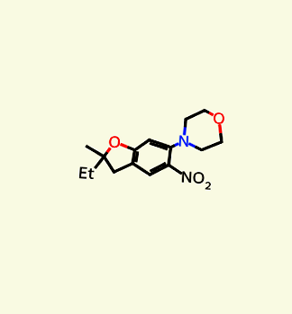 CCC1(C)Cc2cc([N+](=O)[O-])c(N3CCOCC3)cc2O1